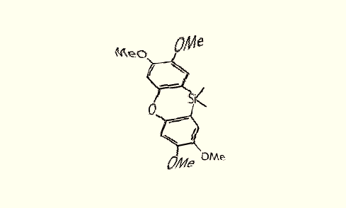 COc1cc2c(cc1OC)[Si](C)(C)c1cc(OC)c(OC)cc1O2